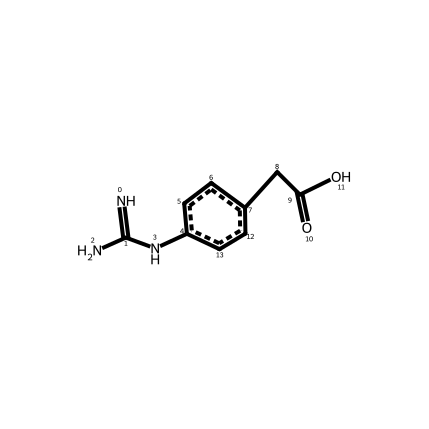 N=C(N)Nc1ccc(CC(=O)O)cc1